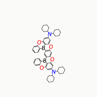 c1ccc2c(c1)Oc1cc(N(C3CCCCC3)C3CCCCC3)cc3c1B2c1cc2c(cc1O3)Oc1cc(N(C3CCCCC3)C3CCCCC3)cc3c1B2c1ccccc1O3